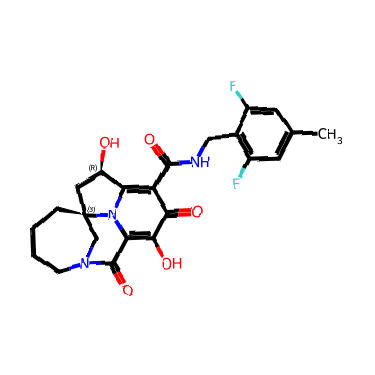 Cc1cc(F)c(CNC(=O)c2c3n4c(c(O)c2=O)C(=O)N2CCCC[C@]4(C[C@H]3O)C2)c(F)c1